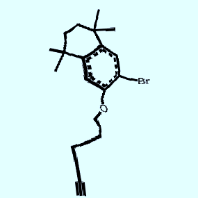 C#CCCCOc1cc2c(cc1Br)C(C)(C)CCC2(C)C